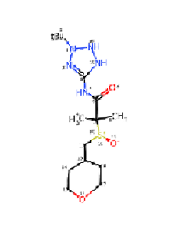 CC(C)(C)N1N=C(NC(=O)C(C)(C)[S@@+]([O-])CC2CCOCC2)NN1